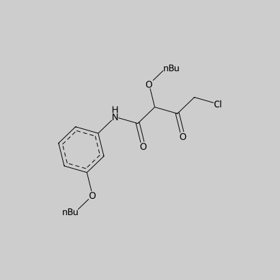 CCCCOc1cccc(NC(=O)C(OCCCC)C(=O)CCl)c1